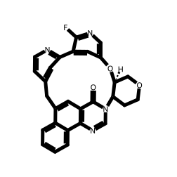 O=c1c2cc3c4ccccc4c2ncn1C1CCOC[C@@H]1Oc1cnc(F)c(c1)-c1cc(ccn1)C3